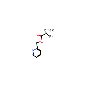 CCCCCCC(CC)C(=O)OCc1ccccn1